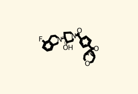 O=C(c1ccc(C(=O)N2C3CCC2COC3)cc1)N1CC[C@H](N2CCc3c(F)cccc3C2)[C@@H](O)C1